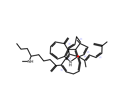 C=C(C)/C=C\C=C(/C)c1[nH]c2c(c1C1=C\C=C\C3=C\C(C(=C)CCCC(CCC)NC)=C/CC=C=C3/C=C\1)C(=C)C=CC=C2